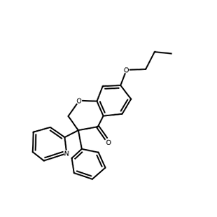 CCCOc1ccc2c(c1)OCC(c1ccccc1)(c1ccccn1)C2=O